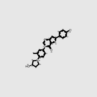 Cc1cc(-n2cnc3cc(-c4ccc(Cl)cc4)sc3c2=O)ccc1N1CC[C@@H](O)C1